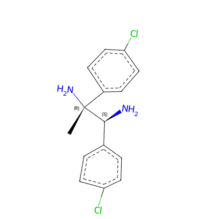 C[C@@](N)(c1ccc(Cl)cc1)[C@@H](N)c1ccc(Cl)cc1